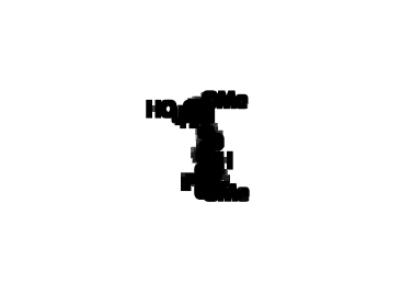 COC[C@@H]1CN(C(=O)O)[C@](c2ncc(-c3ccc4c(c3)COc3cc5c(cc3-4)CCc3nc([C@@H]4CCCN4C(=O)[C@@H](NC(=O)OC)C(C)C)[nH]c3-5)[nH]2)(C(C)(C)C)C1